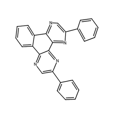 c1ccc(-c2cnc3c4ccccc4c4ncc(-c5ccccc5)nc4c3n2)cc1